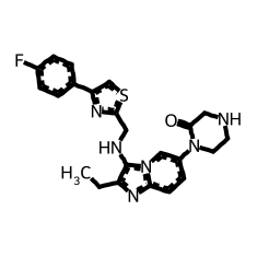 CCc1nc2ccc(N3CCNCC3=O)cn2c1NCc1nc(-c2ccc(F)cc2)cs1